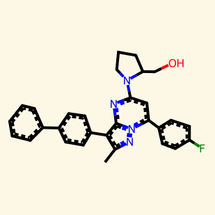 Cc1nn2c(-c3ccc(F)cc3)cc(N3CCCC3CO)nc2c1-c1ccc(-c2ccccc2)cc1